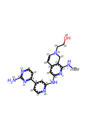 CC(C)(C)Nc1nc(Nc2cc(-c3ccnc(N)n3)ccn2)cc2c1CN(CCO)C=C2